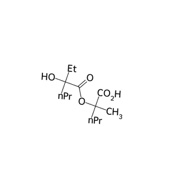 CCCC(O)(CC)C(=O)OC(C)(CCC)C(=O)O